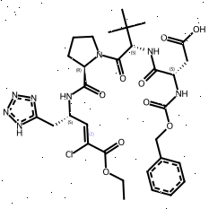 CCOC(=O)/C(Cl)=C/[C@H](Cc1nnn[nH]1)NC(=O)[C@H]1CCCN1C(=O)[C@@H](NC(=O)[C@H](CC(=O)O)NC(=O)OCc1ccccc1)C(C)(C)C